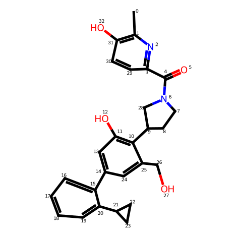 Cc1nc(C(=O)N2CCC(c3c(O)cc(-c4ccccc4C4CC4)cc3CO)C2)ccc1O